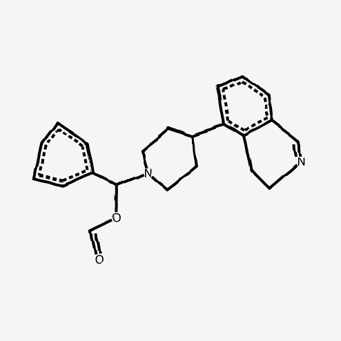 O=COC(c1ccccc1)N1CCC(c2cccc3c2CCN=C3)CC1